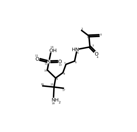 C=C(C)C(=O)NCCCC(CS(=O)(=O)O)C(C)(C)N